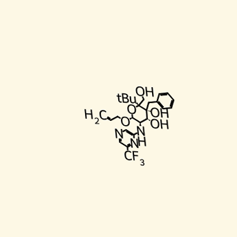 C=CCO[C@H]1O[C@@](CO)(C(C)(C)C)[C@@](O)(Cc2ccccc2)[C@H](O)[C@H]1Nc1cncc(C(F)(F)F)n1